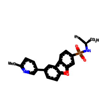 COc1ccc(-c2ccc3oc4cc(S(=O)(=O)N[C@H](C(=O)O)C(C)C)ccc4c3c2)cn1